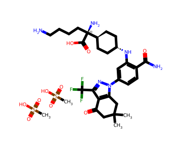 CC1(C)CC(=O)c2c(C(F)(F)F)nn(-c3ccc(C(N)=O)c(N[C@H]4CC[C@H]([C@@](N)(CCCCN)C(=O)O)CC4)c3)c2C1.CS(=O)(=O)O.CS(=O)(=O)O